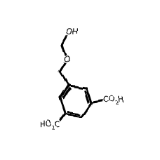 O=C(O)c1cc(COCO)cc(C(=O)O)c1